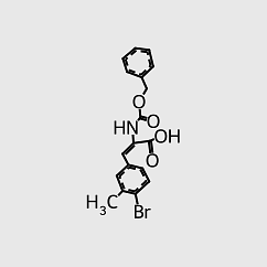 Cc1cc(/C=C(/NC(=O)OCc2ccccc2)C(=O)O)ccc1Br